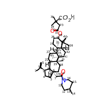 C=C(C)[C@@H]1CC[C@]2(CC(=O)N3CCC(C)CC3)CC[C@]3(C)[C@H](CC[C@@H]4[C@@]5(C)CC[C@H](OC(=O)CC(C)(C)C(=O)O)C(C)(C)[C@@H]5CC[C@]43C)[C@@H]12